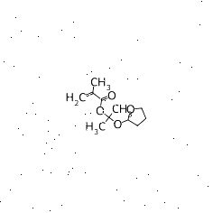 C=C(C)C(=O)OC(C)(C)OC1CCCO1